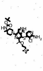 C[C@H](OCC[Si](C)(C)C)c1nc(N2CCC(C)(NC(=O)OC(C)(C)C)CC2)c2c[nH]nc2c1Sc1ccnc(N)c1Cl